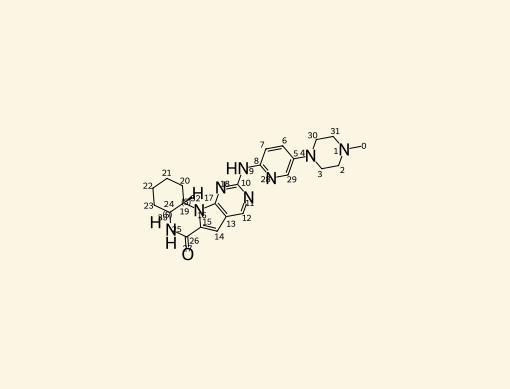 CN1CCN(c2ccc(Nc3ncc4cc5n(c4n3)[C@H]3CCCC[C@@H]3NC5=O)nc2)CC1